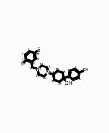 OC1(c2ccc(F)cc2)CCC(N2CCN(Cc3cc(F)ccc3F)CC2)CC1